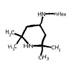 CCCCCCNC1CC(C)(C)NC(C)(C)C1